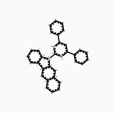 c1ccc(-c2cc(-c3ccccc3)nc(-n3c4ccccc4c4cc5ccccc5cc43)n2)cc1